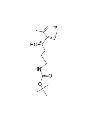 Cc1ccccc1[C@H](O)CCCNC(=O)OC(C)(C)C